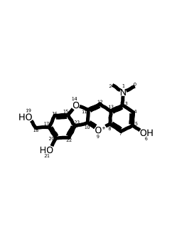 CN(C)c1cc(O)cc2[o+]c3c(cc12)oc1cc(CO)c(O)cc13